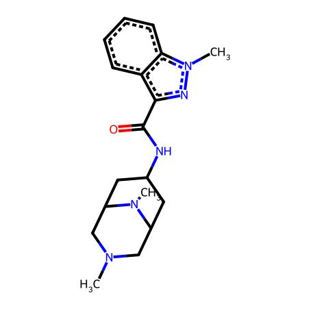 CN1CC2CC(NC(=O)c3nn(C)c4ccccc34)CC(C1)N2C